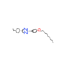 CCCCCCCCCOc1ccc(-c2ncc([C@H]3CC[C@H](CC)CC3)cn2)cc1